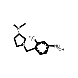 CN(C)[C@H]1CCN(Cc2ccc(NO)cc2C(F)(F)F)C1